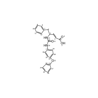 O=C(O)C=CC(Cc1ccccc1)NC(=O)Nc1ccc(Oc2ccccc2)cc1